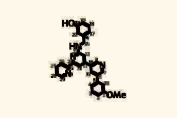 COc1cccc(-c2cncc(-c3cc(NCc4cccc(O)c4)nc(-c4ccccn4)c3)c2)c1